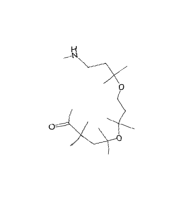 CNCCC(C)(C)OCCC(C)(C)OC(C)(C)CC(C)(C)C(C)=O